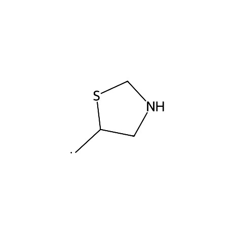 [CH2]C1CNCS1